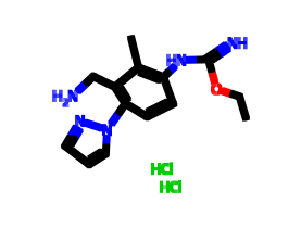 CCOC(=N)Nc1ccc(-n2cccn2)c(CN)c1C.Cl.Cl